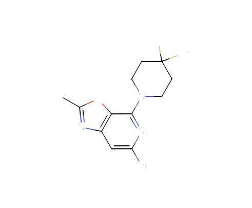 Cc1nc2cc(Br)nc(N3CCC(F)(F)CC3)c2o1